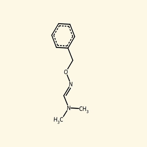 CN(C)C=NOCc1ccccc1